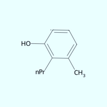 CCCc1c(O)[c]ccc1C